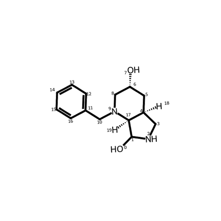 OC1NC[C@@H]2C[C@@H](O)CN(Cc3ccccc3)[C@H]12